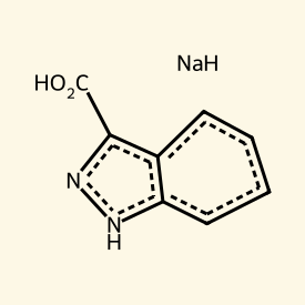 O=C(O)c1n[nH]c2ccccc12.[NaH]